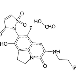 CC(C)CCNc1cc2c(F)c(N3C(=O)C=CS3(=O)=O)c(O)c3c2n(c1=O)CC3.O=CO